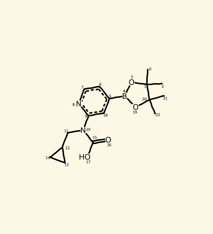 CC1(C)OB(c2ccnc(N(CC3CC3)C(=O)O)c2)OC1(C)C